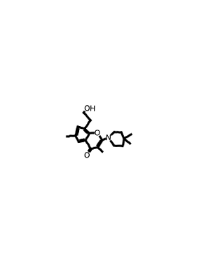 Cc1cc(CCO)c2oc(N3CCC(C)(C)CC3)c(C)c(=O)c2c1